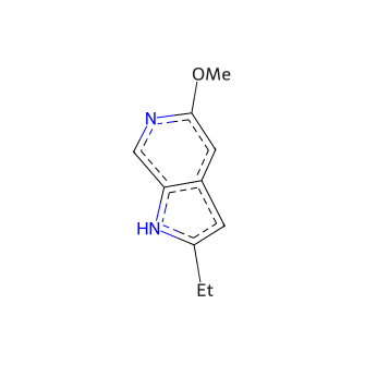 CCc1cc2cc(OC)ncc2[nH]1